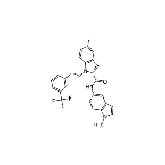 Cn1ccc2cc(NC(=O)c3cc4cc(F)ccc4n3CCc3cccc(C(F)(F)F)c3)ccc21